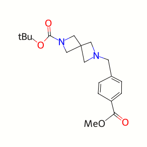 COC(=O)c1ccc(CN2CC3(C2)CN(C(=O)OC(C)(C)C)C3)cc1